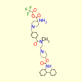 CN(CCN1CCC(OC(=O)Nc2ccccc2-c2ccccc2)CC1)C(=O)c1ccc(CN2CCC(N)(C(=O)OC(=O)C(F)(F)F)CC2)cc1